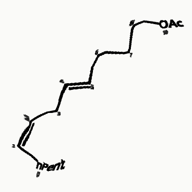 CCCCC/C=C\C/C=C/CCCOC(C)=O